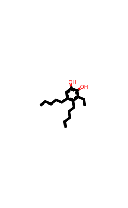 CCCCCc1cc(O)c(O)c(CC)c1CCCCC